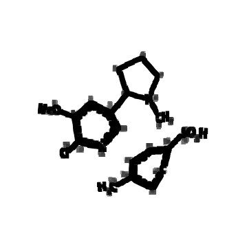 COc1cc(C2CCCN2C)cnc1Cl.Cc1ccc(S(=O)(=O)O)cc1